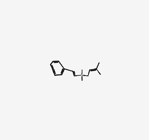 CC(C)=CC[Si](C)(C)C=Cc1ccccc1